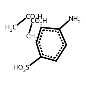 CC(=O)O.CC(=O)O.Nc1ccc(S(=O)(=O)O)cc1